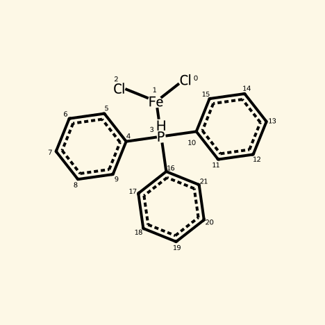 [Cl][Fe]([Cl])[PH](c1ccccc1)(c1ccccc1)c1ccccc1